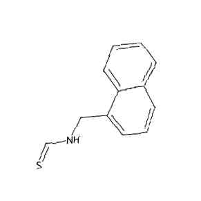 S=CNCc1cccc2ccccc12